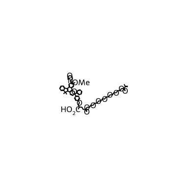 C=C(C)C(=O)OCCOCCOCCOCCOCCOCCOC(=O)CCC(COc1ccc(C2(c3ccccc3)C=Cc3c4c(c5cc(N6CCOCC6)c(OC)cc5c3O2)-c2ccccc2C4(C)C)cc1)C(=O)O